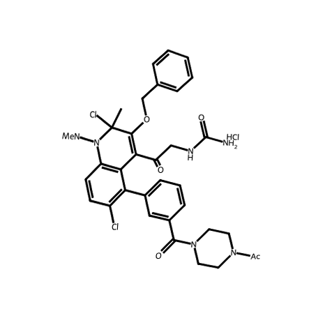 CNN1c2ccc(Cl)c(-c3cccc(C(=O)N4CCN(C(C)=O)CC4)c3)c2C(C(=O)CNC(N)=O)=C(OCc2ccccc2)C1(C)Cl.Cl